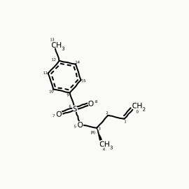 C=CC[C@@H](C)OS(=O)(=O)c1ccc(C)cc1